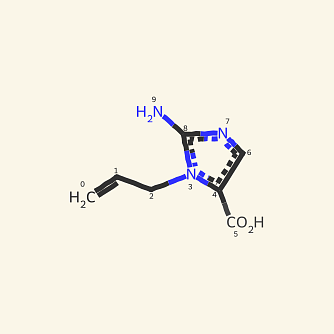 C=CCn1c(C(=O)O)cnc1N